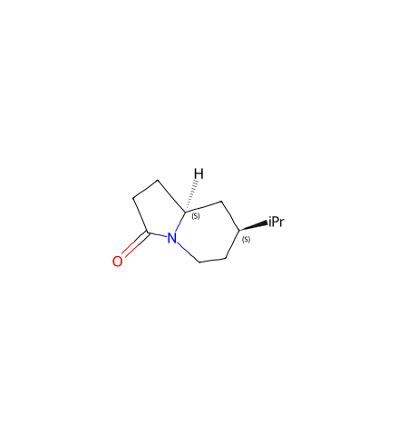 CC(C)[C@H]1CCN2C(=O)CC[C@H]2C1